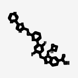 O=C(O)c1ccc2nc(Cc3cc(F)c(-c4cccc(OCc5ncc(-c6cnccn6)s5)n4)cc3F)n(C[C@@H]3CCO3)c2c1